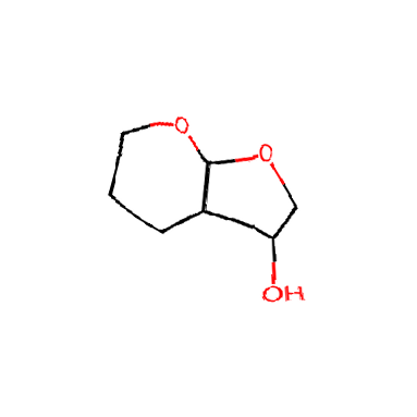 OC1COC2OCCCC12